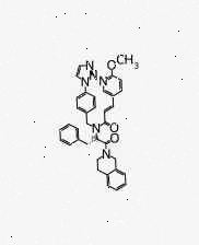 COc1ccc(C=CC(=O)N(Cc2ccc(-n3ccnn3)cc2)[C@@H](Cc2ccccc2)C(=O)N2CCc3ccccc3C2)cn1